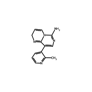 Cc1ncccc1C1=CN=C(N)N2C=CCN=C12